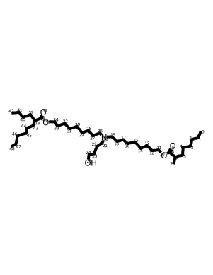 CCCCCCC(C)C(=O)OCCCCCCCCCN(CCCCO)CCCCCCCCCOC(=O)C(CCCC)CCCCCC